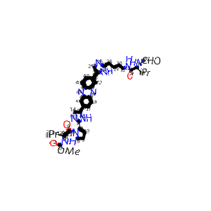 COC(=O)N[C@H](C(=O)N1CCC[C@H]1C1=NCC(c2ccc3nc4cc(C5CN=C(CCCCNC(=O)[C@@H](NC=O)C(C)C)N5)ccc4nc3c2)N1)C(C)C